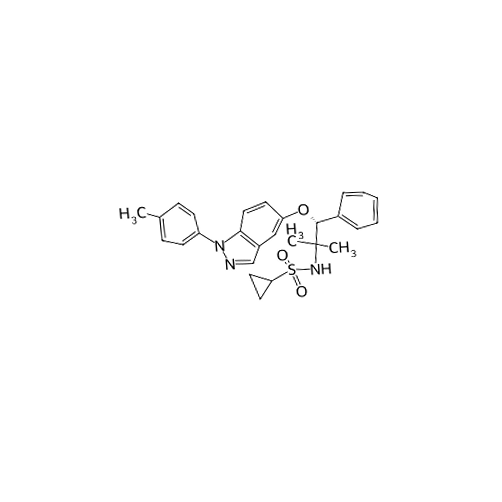 Cc1ccc(-n2ncc3cc(O[C@H](c4ccccc4)C(C)(C)NS(=O)(=O)C4CC4)ccc32)cc1